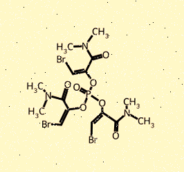 CN(C)C(=O)/C(=C\Br)OP(=O)(O/C(=C/Br)C(=O)N(C)C)O/C(=C/Br)C(=O)N(C)C